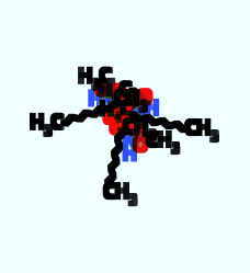 CCCCCCCCC(C)(NS(=O)(=O)CC)OP(=O)(OC(C)(CCCCCCCC)NS(=O)(=O)CC)OC(C)(CCCCCCCC)NS(=O)(=O)CC